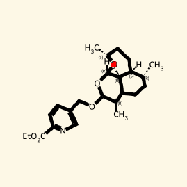 CCOC(=O)c1ccc(COC2O[C@@H]3O[C@]4(C)CC[C@H]5[C@H](C)CCC([C@H]2C)[C@@]35OO4)cn1